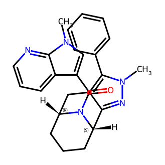 Cn1nc2c(c1-c1ccccc1)C[C@H]1CCC[C@@H]2N1C(=O)c1cn(C)c2ncccc12